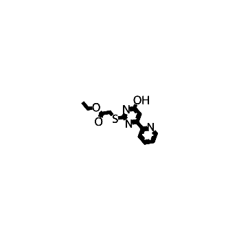 CCOC(=O)CSc1nc(O)cc(-c2ccccn2)n1